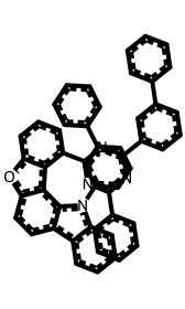 c1ccc(-c2cccc(-c3nc(-c4ccccc4)nc(-c4cccc5oc6ccc7c8ccccc8n(-c8cccc(-c9ccccc9)c8)c7c6c45)n3)c2)cc1